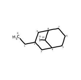 CCC1CC2CCCC(C1)C2I